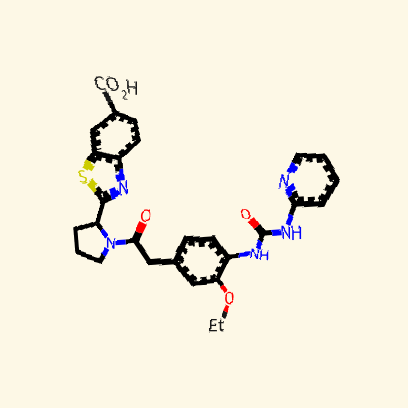 CCOc1cc(CC(=O)N2CCCC2c2nc3ccc(C(=O)O)cc3s2)ccc1NC(=O)Nc1ccccn1